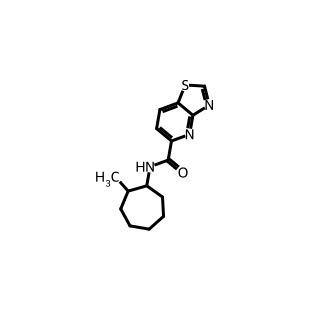 CC1CCCCCC1NC(=O)c1ccc2scnc2n1